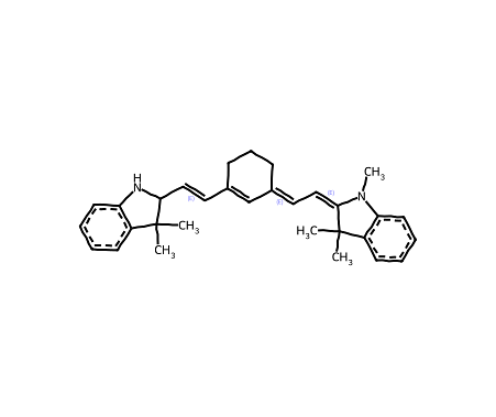 CN1/C(=C/C=C2C=C(/C=C/C3Nc4ccccc4C3(C)C)CCC/2)C(C)(C)c2ccccc21